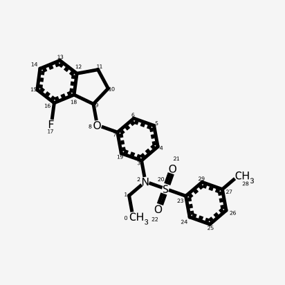 CCN(c1cccc(OC2CCc3cccc(F)c32)c1)S(=O)(=O)c1cccc(C)c1